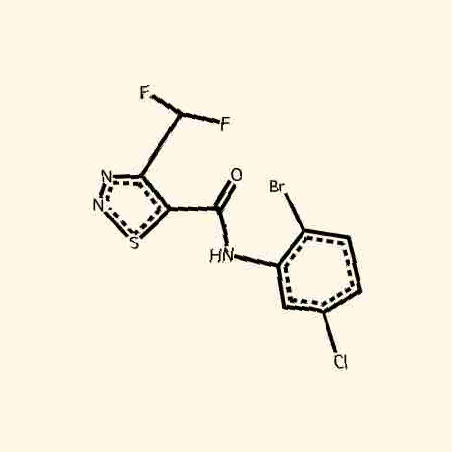 O=C(Nc1cc(Cl)ccc1Br)c1snnc1C(F)F